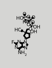 C#C[C@]1(COP(=O)(O)OP(=O)(O)OP(=O)(O)O)C[C@@H](n2cnc3c(N)nc(F)nc32)C[C@@H]1O